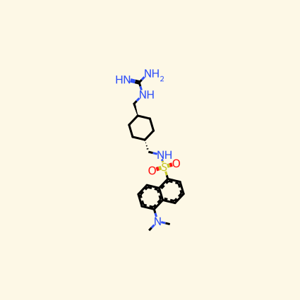 CN(C)c1cccc2c(S(=O)(=O)NC[C@H]3CC[C@H](CNC(=N)N)CC3)cccc12